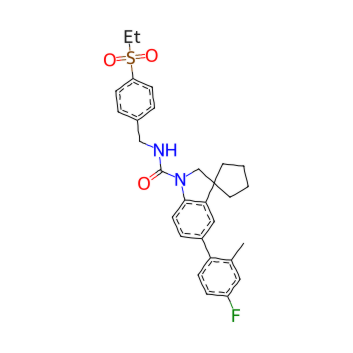 CCS(=O)(=O)c1ccc(CNC(=O)N2CC3(CCCC3)c3cc(-c4ccc(F)cc4C)ccc32)cc1